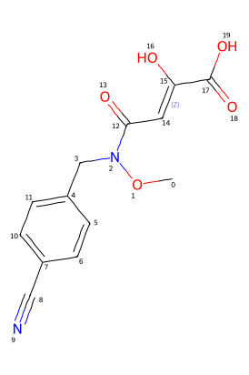 CON(Cc1ccc(C#N)cc1)C(=O)/C=C(\O)C(=O)O